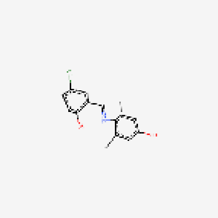 Cc1cc(O)cc(C)c1N=Cc1cc(Cl)ccc1O